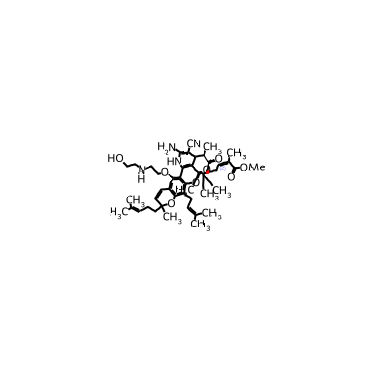 COC(=O)/C(C)=C\CC12OC(C)(C)C(C)C13Oc1c(CC=C(C)C)c4c(c(OCCNCCO)c1C1=C3C(C(C#N)=C(N)N1)C(C)C2=O)C=CC(C)(CCC=C(C)C)O4